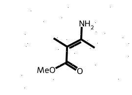 COC(=O)/C(C)=C(\C)N